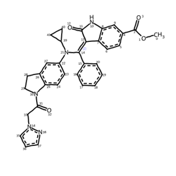 COC(=O)c1ccc2c(c1)NC(=O)/C2=C(/c1ccccc1)N(c1ccc2c(c1)CCN2C(=O)Cn1cccn1)C1CC1